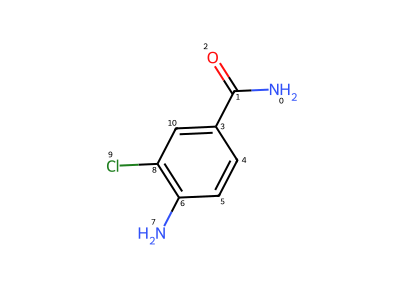 NC(=O)c1ccc(N)c(Cl)c1